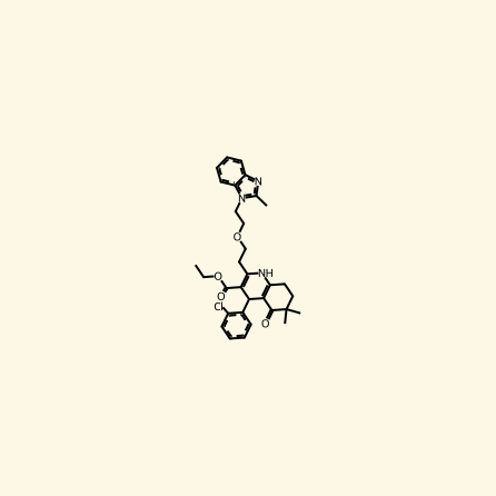 CCOC(=O)C1=C(CCOCCn2c(C)nc3ccccc32)NC2=C(C(=O)C(C)(C)CC2)C1c1ccccc1Cl